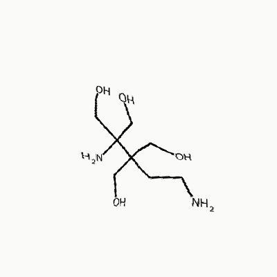 NCCC(CO)(CO)C(N)(CO)CO